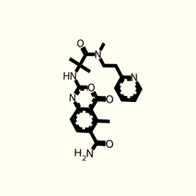 Cc1c(C(N)=O)ccc2nc(NC(C)(C)C(=O)N(C)CCc3ccccn3)oc(=O)c12